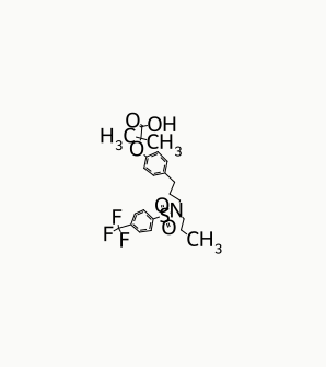 CCCN(CCCc1ccc(OC(C)(C)C(=O)O)cc1)S(=O)(=O)c1ccc(C(F)(F)F)cc1